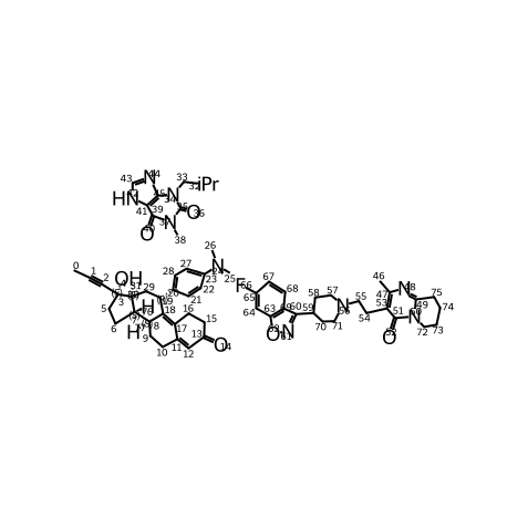 CC#C[C@]1(O)CC[C@H]2[C@@H]3CCC4=CC(=O)CCC4=C3[C@@H](c3ccc(N(C)C)cc3)C[C@@]21C.CC(C)Cn1c(=O)n(C)c(=O)c2[nH]cnc21.Cc1nc2n(c(=O)c1CCN1CCC(c3noc4cc(F)ccc34)CC1)CCCC2